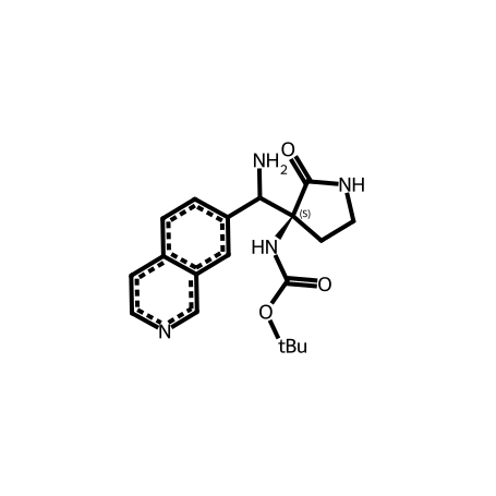 CC(C)(C)OC(=O)N[C@]1(C(N)c2ccc3ccncc3c2)CCNC1=O